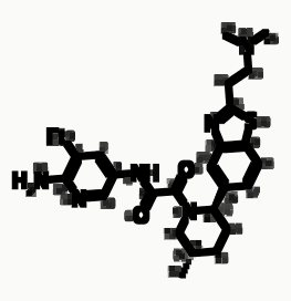 CCc1cc(NC(=O)C(=O)N2C[C@@H](C)CC[C@@H]2c2ccc3sc(CCN(C)C)nc3c2)cnc1N